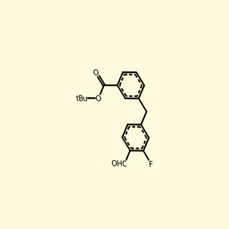 CC(C)(C)OC(=O)c1cccc(Cc2ccc(C=O)c(F)c2)c1